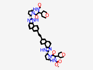 COC(=O)NC(C(=O)N1[C@@H](C)CC[C@H]1c1nc2ccc3cc(C#Cc4ccc5c(ccc6nc([C@@H]7CC[C@H](C)N7C(=O)C(NC=O)C7CCOCC7)[nH]c65)c4)ccc3c2[nH]1)C1CCOCC1